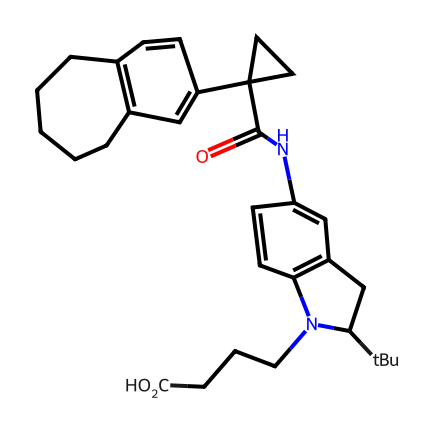 CC(C)(C)C1Cc2cc(NC(=O)C3(c4ccc5c(c4)CCCCC5)CC3)ccc2N1CCCC(=O)O